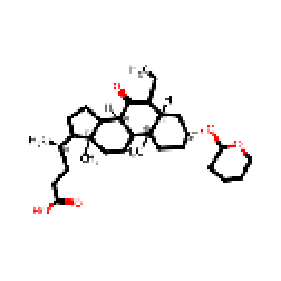 CCC1C(=O)[C@@H]2C3CCC([C@H](C)CCC(=O)O)[C@@]3(C)CCC2[C@@]2(C)CC[C@@H](OC3CCCCO3)C[C@@H]12